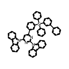 c1ccc(-c2cccc([Si](c3ccccc3)(c3ccccc3)c3cccc(-c4cc(-n5c6ccccc6c6ccccc65)nc(-n5c6ccccc6c6ccccc65)n4)c3)c2)cc1